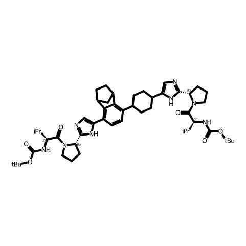 CC(C)[C@H](NC(=O)OC(C)(C)C)C(=O)N1CCC[C@H]1c1ncc(-c2ccc(C3CCC(c4cnc([C@@H]5CCCN5C(=O)[C@@H](NC(=O)OC(C)(C)C)C(C)C)[nH]4)CC3)c3c2C2CCC3C2)[nH]1